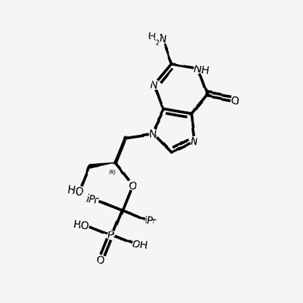 CC(C)C(O[C@@H](CO)Cn1cnc2c(=O)[nH]c(N)nc21)(C(C)C)P(=O)(O)O